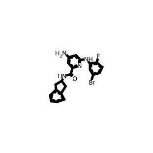 Nc1cc(Nc2cc(Br)ccc2F)nc(C(=O)NC2Cc3ccccc3C2)c1